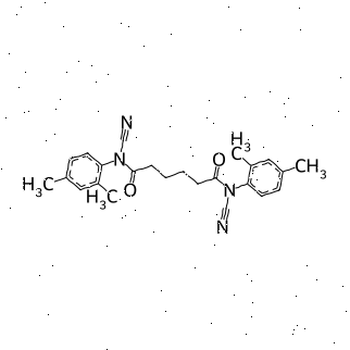 Cc1ccc(N(C#N)C(=O)CCCCC(=O)N(C#N)c2ccc(C)cc2C)c(C)c1